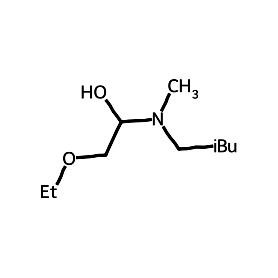 CCOCC(O)N(C)CC(C)CC